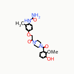 COc1c(O)cccc1C(=O)N1CCN(C(=O)COc2ccc(NC(N)=O)c(C)c2)CC1